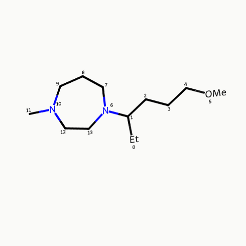 CCC(CCCOC)N1CCCN(C)CC1